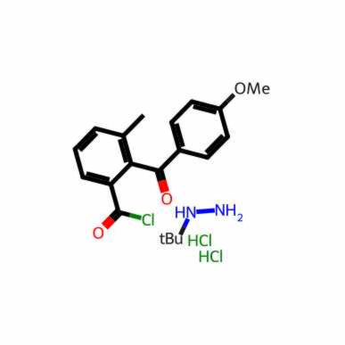 CC(C)(C)NN.COc1ccc(C(=O)c2c(C)cccc2C(=O)Cl)cc1.Cl.Cl